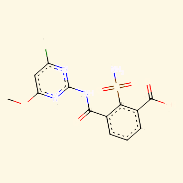 COc1cc(Cl)nc(NC(=O)c2cccc(C(=O)O)c2S(N)(=O)=O)n1